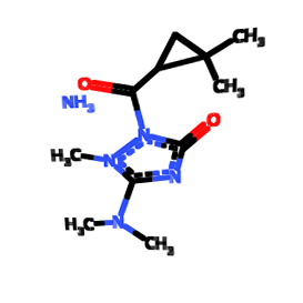 CN(C)c1nc(=O)n(C(=O)C2CC2(C)C)n1C.N